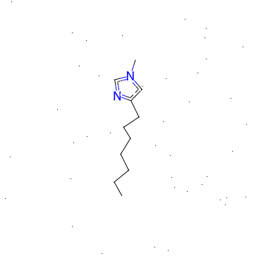 CCCCCCCc1cn(C)cn1